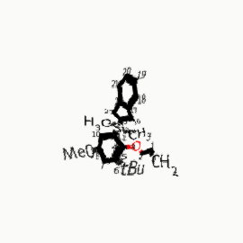 C=CCOc1c(C(C)(C)C)cc(OC)cc1[Si](C)(C)C1=Cc2ccccc2C1